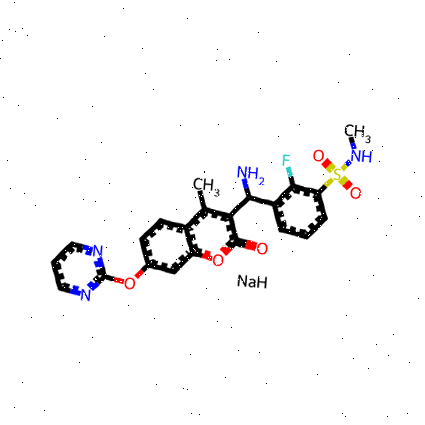 CNS(=O)(=O)c1cccc(C(N)c2c(C)c3ccc(Oc4ncccn4)cc3oc2=O)c1F.[NaH]